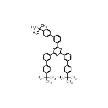 CC(C)(C)c1ccc(-c2cccc(-c3nc(-c4cccc(-c5ccc(C(C)(C)C)cc5)c4)nc(-c4cccc(-c5ccc(C(C)(C)C)cc5)c4)n3)c2)cc1